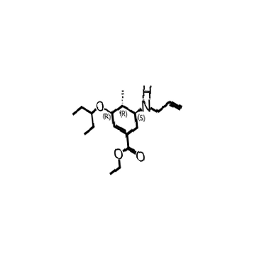 C=CCN[C@H]1CC(C(=O)OCC)=C[C@@H](OC(CC)CC)[C@@H]1C